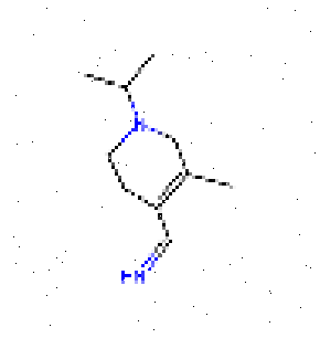 CC1=C(C=N)CCN(C(C)C)C1